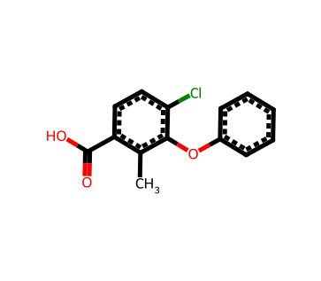 Cc1c(C(=O)O)ccc(Cl)c1Oc1ccccc1